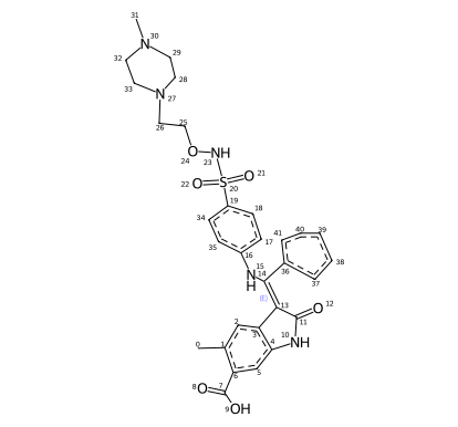 Cc1cc2c(cc1C(=O)O)NC(=O)/C2=C(/Nc1ccc(S(=O)(=O)NOCCN2CCN(C)CC2)cc1)c1ccccc1